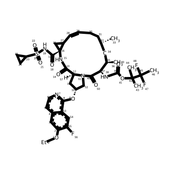 CCOc1cc2ccnc(O[C@@H]3C[C@H]4C(=O)N[C@]5(C(=O)NS(=O)(=O)C6CC6)CC5/C=C\CC[C@H](C)C[C@@H](C)[C@H](NC(=O)OC(C)(C)C(C)(F)F)C(=O)N4C3)c2cc1F